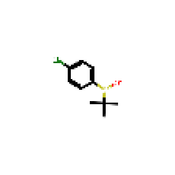 CC(C)(C)[S+]([O-])c1ccc(Cl)cc1